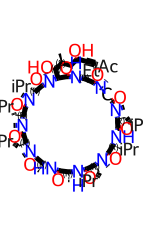 CC[C@H]1NC(=O)C([C@@H](O)[C@@H](C)CC(O)C#CC(C)=O)N(C)C(=O)[C@@H](C(C)C)N(C)C(=O)[C@@H](CC(C)C)N(C)C(=O)[C@@H](CC(C)C)N(C)C(=O)[C@@H](C)NC(=O)[C@@H](C)NC(=O)[C@@H](CC(C)C)N(C)C(=O)[C@@H](C(C)C)NC(=O)[C@@H](CC(C)C)N(C)C(=O)CN(C)C1=O